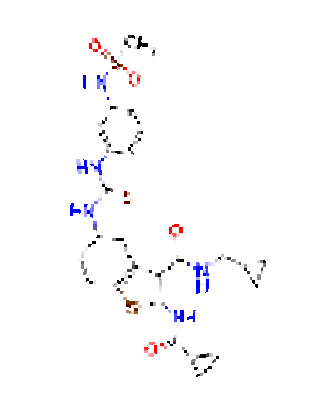 CS(=O)(=O)Nc1cccc(NC(=S)N[C@H]2CCc3sc(NC(=O)C4CC4)c(C(=O)NCC4CC4)c3C2)c1